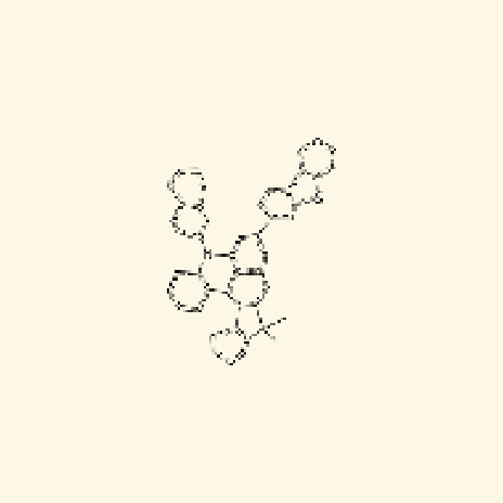 CC1(C)c2ccccc2-c2c(-c3ccccc3N(c3cccc(-c4ccc5c(c4)sc4ccccc45)c3)c3ccc4ccccc4c3)cccc21